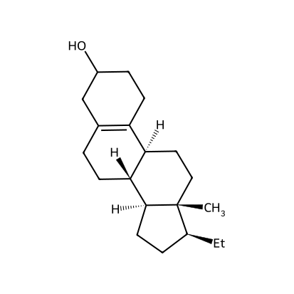 CC[C@H]1CC[C@H]2[C@@H]3CCC4=C(CCC(O)C4)[C@H]3CC[C@]12C